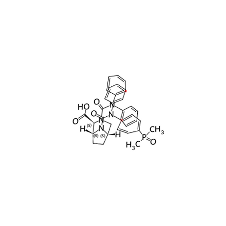 CP(C)(=O)c1ccc(N(C(=O)N2[C@H]3CC[C@@H]2[C@@H](C(=O)O)N(C(=O)N(c2ccccc2)c2ccccc2)C3)c2ccccc2)cc1